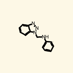 [c]1ccccc1NCn1nnc2ccccc21